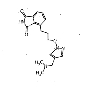 CN(C)Cc1cnn(OCCCc2cccc3c2C(=O)NC3=O)c1